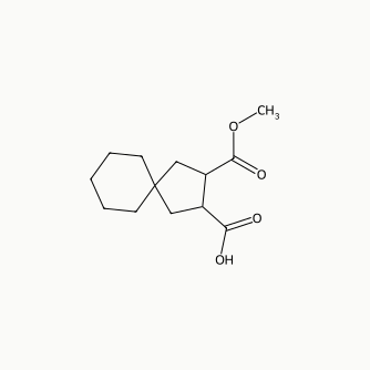 COC(=O)C1CC2(CCCCC2)CC1C(=O)O